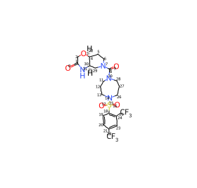 O=C1CO[C@H]2CCN(C(=O)N3CCCN(S(=O)(=O)c4ccc(C(F)(F)F)cc4C(F)(F)F)CCC3)C[C@H]2N1